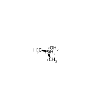 C[SiH2]C.O